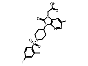 Cc1cnc2c(c1)n(CC(=O)O)c(=O)n2C1CCN(S(=O)(=O)c2ccc(F)cc2C)CC1